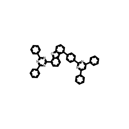 c1ccc(-c2cc(-c3ccccc3)nc(-c3ccc(-c4cccc5oc6c(-c7nc(-c8ccccc8)nc(-c8ccccc8)n7)cccc6c45)cc3)n2)cc1